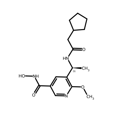 COc1ncc(C(=O)NO)cc1[C@H](C)NC(=O)CC1CCCC1